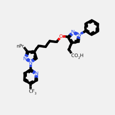 CCCc1nn(-c2ccc(C(F)(F)F)cn2)cc1CCCCOc1nn(-c2ccccc2)cc1CC(=O)O